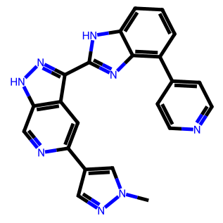 Cn1cc(-c2cc3c(-c4nc5c(-c6ccncc6)cccc5[nH]4)n[nH]c3cn2)cn1